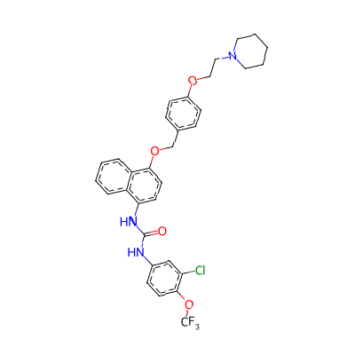 O=C(Nc1ccc(OC(F)(F)F)c(Cl)c1)Nc1ccc(OCc2ccc(OCCN3CCCCC3)cc2)c2ccccc12